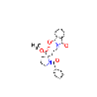 COC(=O)C1(CCCN2C(=O)c3ccccc3C2=O)CCCN1C(=O)c1ccccc1